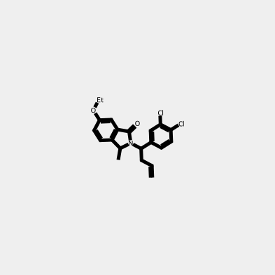 C=CCC(c1ccc(Cl)c(Cl)c1)N1C(=O)c2cc(OCC)ccc2C1C